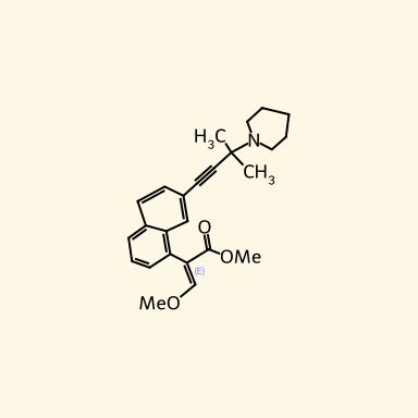 CO/C=C(/C(=O)OC)c1cccc2ccc(C#CC(C)(C)N3CCCCC3)cc12